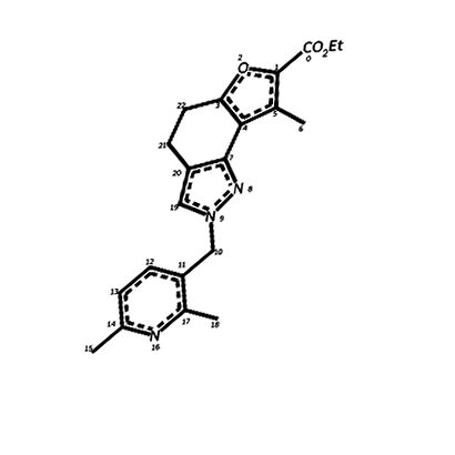 CCOC(=O)c1oc2c(c1C)-c1nn(Cc3ccc(C)nc3C)cc1CC2